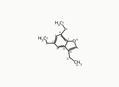 CCc1cc(CC)c2occ(CC)c2c1